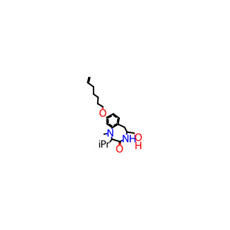 C=CCCCCCOc1ccc2c(c1)N(C)C(C(C)C)C(=O)NC(CO)C2